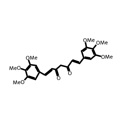 COc1cc(C=CC(=O)CC(=O)C=Cc2cc(OC)c(OC)c(OC)c2)cc(OC)c1OC